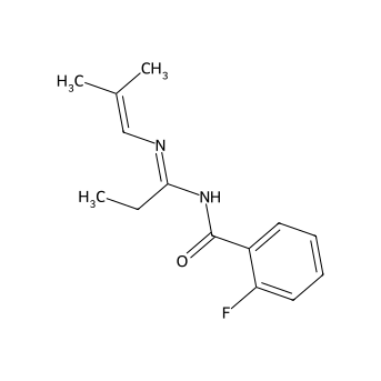 CC/C(=N\C=C(C)C)NC(=O)c1ccccc1F